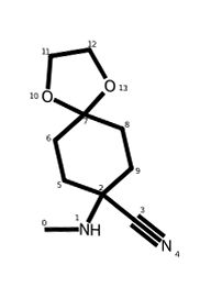 CNC1(C#N)CCC2(CC1)OCCO2